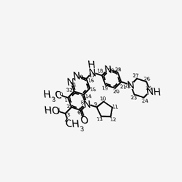 Cc1c(C(C)O)c(=O)n(C2CCCC2)c2cc(Nc3ccc(N4CCNCC4)cn3)nnc12